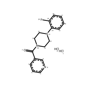 Cl.Cl.O=C(c1cccnc1)N1CCN(c2ccccc2F)CC1